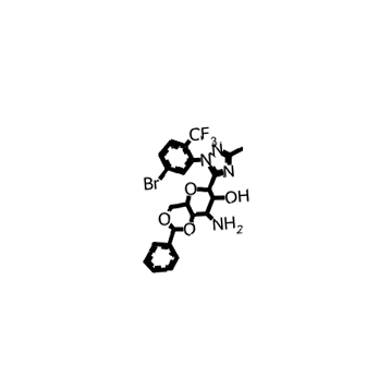 Cc1nc(C2OC3COC(c4ccccc4)OC3C(N)C2O)n(-c2cc(Br)ccc2C(F)(F)F)n1